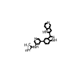 C=C(CCC)Nc1cncc(-c2ccc3[nH]nc(-c4cc5cnccc5[nH]4)c3c2)c1